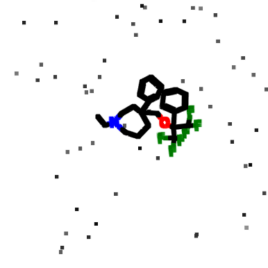 CCN1CCCC(COC(c2ccccc2)(C(F)(F)F)C(F)(F)F)(c2ccccc2)CC1